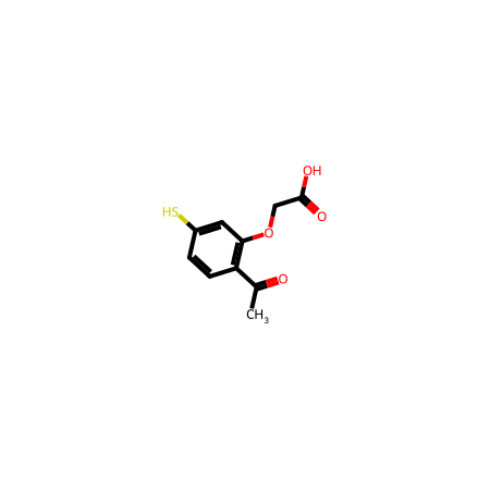 CC(=O)c1ccc(S)cc1OCC(=O)O